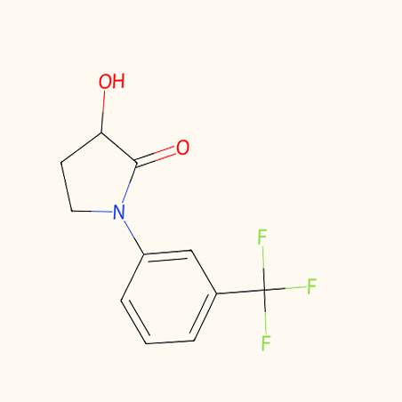 O=C1C(O)CCN1c1cccc(C(F)(F)F)c1